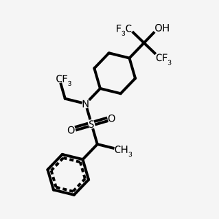 CC(c1ccccc1)S(=O)(=O)N(CC(F)(F)F)C1CCC(C(O)(C(F)(F)F)C(F)(F)F)CC1